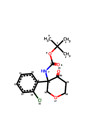 CC(C)(C)OC(=O)NC1(c2ccccc2Cl)COCCC1=O